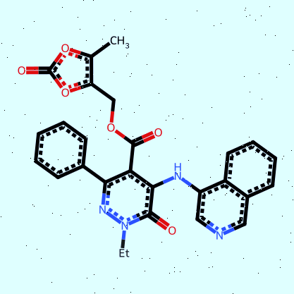 CCn1nc(-c2ccccc2)c(C(=O)OCc2oc(=O)oc2C)c(Nc2cncc3ccccc23)c1=O